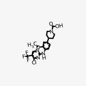 COc1cc(C2CCN(C(=O)O)CC2)ccc1Nc1ncc(C(F)(F)F)c(Cl)n1